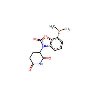 C[SH](C)c1cccc2c1oc(=O)n2C1CCC(=O)NC1=O